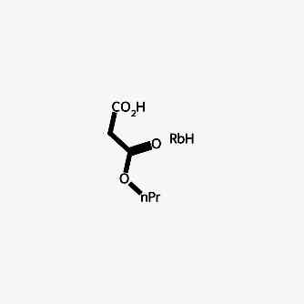 CCCOC(=O)CC(=O)O.[RbH]